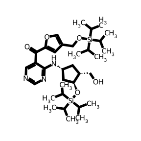 CC(C)[Si](OCc1coc(C(=O)c2cncnc2N[C@@H]2C[C@H](CO)[C@@H](O[Si](C(C)C)(C(C)C)C(C)C)C2)c1)(C(C)C)C(C)C